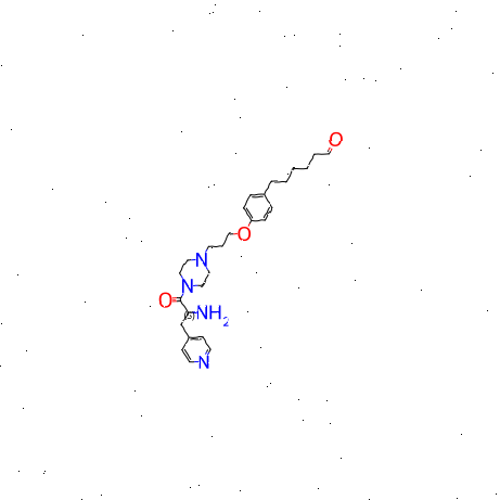 N[C@@H](Cc1ccncc1)C(=O)N1CCN(CCCOc2ccc(CCCCCC=O)cc2)CC1